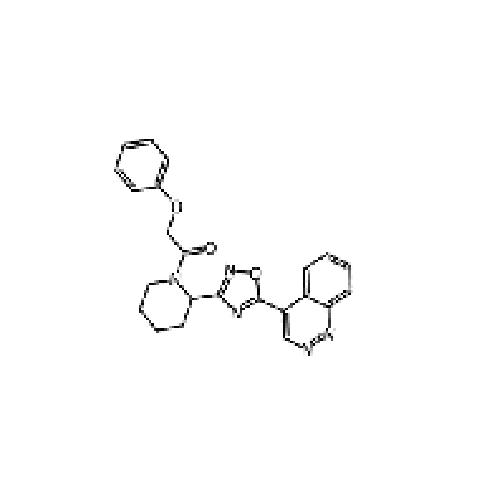 O=C(COc1ccccc1)N1CCCCC1c1noc(-c2cnnc3ccccc23)n1